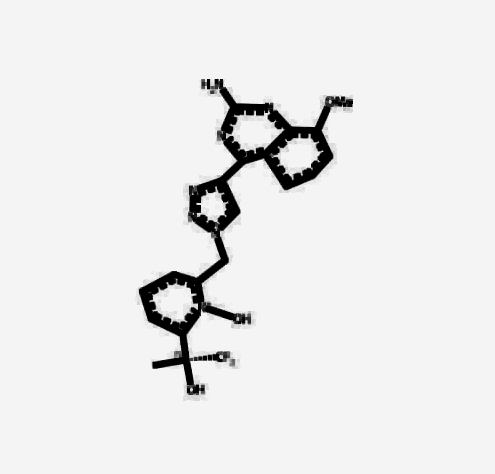 COc1cccc2c(-c3cn(Cc4cccc([C@](C)(O)C(F)(F)F)[n+]4O)nn3)nc(N)nc12